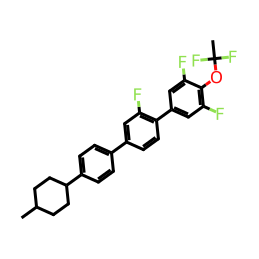 CC1CCC(c2ccc(-c3ccc(-c4cc(F)c(OC(C)(F)F)c(F)c4)c(F)c3)cc2)CC1